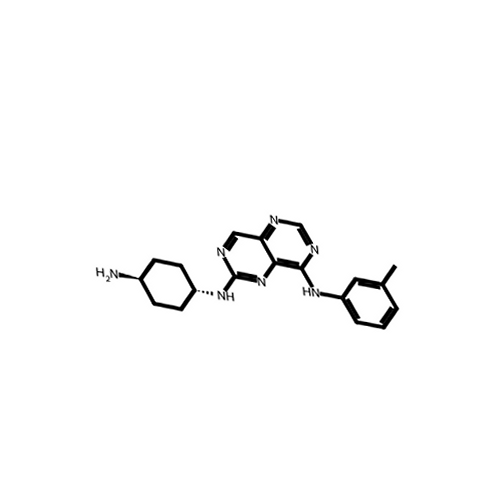 Cc1cccc(Nc2ncnc3cnc(N[C@H]4CC[C@H](N)CC4)nc23)c1